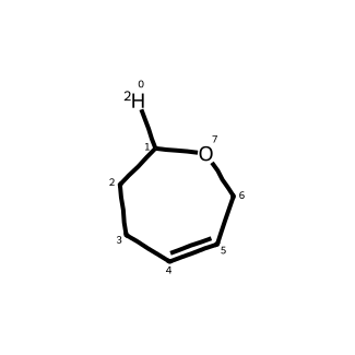 [2H]C1CCC=CCO1